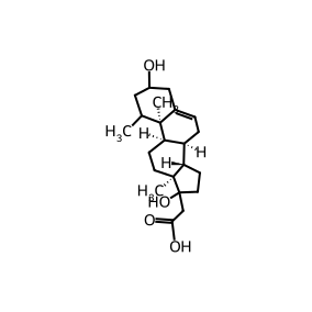 CC1CC(O)CC2=CC[C@@H]3[C@@H](CC[C@@]4(C)[C@H]3CCC4(O)CC(=O)O)[C@]21C